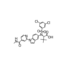 CNC(=O)c1ccnc(-n2ccc3cc(N(C(C(=O)O)C(C)(C)C)S(=O)(=O)c4cc(Cl)cc(Cl)c4)ccc32)c1